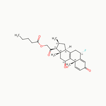 CCCCC(=O)OCC(=O)[C@H]1[C@@H](C)C[C@H]2C3=C([C@@H](O)C[C@@]21C)[C@@]1(C)C=CC(=O)C=C1[C@@H](F)C3